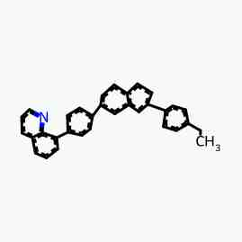 CCc1ccc(-c2ccc3ccc(-c4ccc(-c5cccc6cccnc56)cc4)cc3c2)cc1